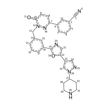 N#Cc1cccc(-c2ccc(=O)n(Cc3cccc(-c4ncc(-c5cnn(C6CCNCC6)c5)o4)c3)n2)c1